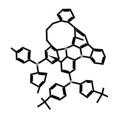 Cc1ccc(N(c2ccc(C)cc2)c2cc3c4c(c2)CC2C=C(N(c5ccc(C(C)(C)C)cc5)c5ccc(C(C)(C)C)cc5)C=C5C2B4c2c(C)c(cc4c6ccccc6n5c24)-c2ccccc2CCC3)cc1